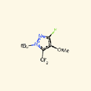 COc1c(F)nn(C(C)(C)C)c1C(F)(F)F